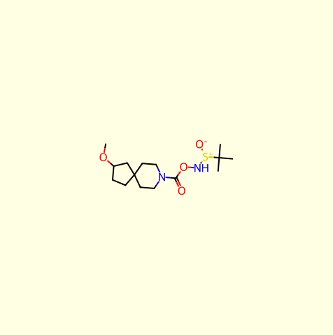 COC1CCC2(CCN(C(=O)ON[S@+]([O-])C(C)(C)C)CC2)C1